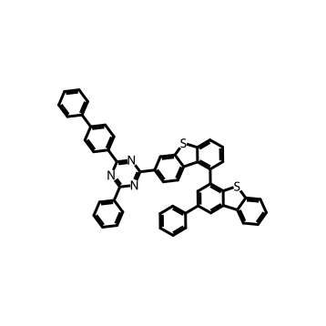 c1ccc(-c2ccc(-c3nc(-c4ccccc4)nc(-c4ccc5c(c4)sc4cccc(-c6cc(-c7ccccc7)cc7c6sc6ccccc67)c45)n3)cc2)cc1